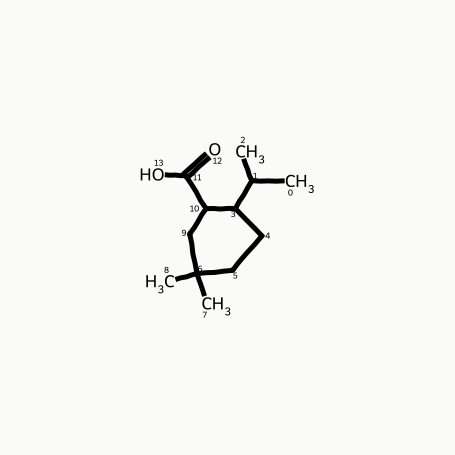 CC(C)C1CCC(C)(C)CC1C(=O)O